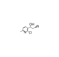 Cc1ccc(C(O)CC#N)c(Cl)n1